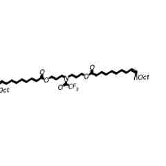 CCCCCCCC/C=C\CCCCCCCC(=O)OCCCN(CCCOC(=O)CCCCCCC/C=C\CCCCCCCC)C(=O)C(F)(F)F